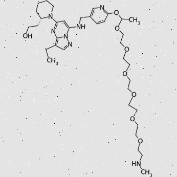 CCc1cnn2c(NCc3ccc(OC(C)OCCOCCOCCOCCOCCOCCNC)nc3)cc(N3CCCC[C@H]3CCO)nc12